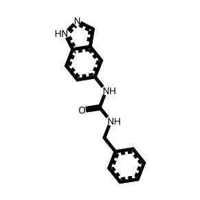 O=C(NCc1ccccc1)Nc1ccc2[nH]ncc2c1